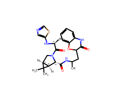 CC(C)(C)[C@H](Nc1cncs1)C(=O)N1C[C@H]2[C@@H]([C@H]1C(=O)NC(C#N)CC1Oc3ccccc3NC1=O)C2(C)C